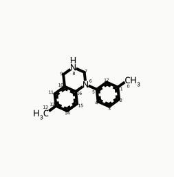 Cc1cccc(N2CNCc3cc(C)ccc32)c1